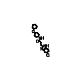 O=C(CSc1nc2cc(Cl)ccc2[nH]1)Nc1ccc(Oc2ccccc2)cc1